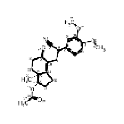 COc1ccc(C(C#N)CC2=C3CC[C@H](OC(C)=O)[C@@]3(C)CCC2=O)cc1OC